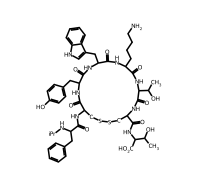 CC(C)NC(Cc1ccccc1)C(=O)NC1CSSCC(C(=O)NC(C(=O)O)C(C)O)NC(=O)C(C(C)O)NC(=O)C(CCCCN)NC(=O)C(Cc2c[nH]c3ccccc23)NC(=O)C(Cc2ccc(O)cc2)NC1=O